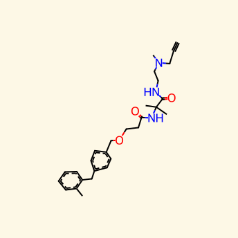 C#CCN(C)CCNC(=O)C(C)(C)NC(=O)CCOCc1ccc(Cc2ccccc2C)cc1